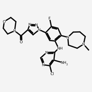 CN1CCCN(c2cc(F)c(-n3cc(C(=O)N4CCOCC4)nn3)cc2Nc2ncnc(Cl)c2N)CC1